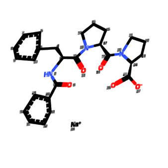 O=C(N[C@@H](Cc1ccccc1)C(=O)N1CCC[C@H]1C(=O)N1CCC[C@H]1C(=O)[O-])c1ccccc1.[Na+]